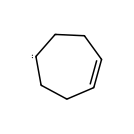 [C]1CCC=CCC1